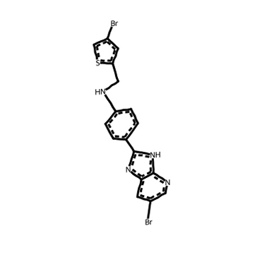 Brc1csc(CNc2ccc(-c3nc4cc(Br)cnc4[nH]3)cc2)c1